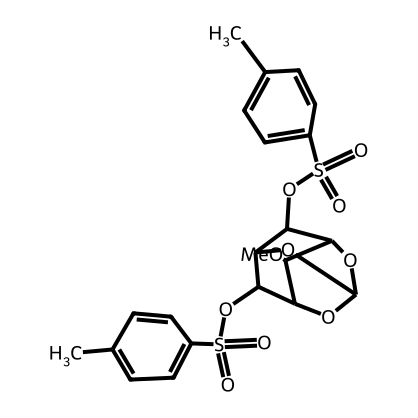 COC1C2OC3OC1C(OS(=O)(=O)c1ccc(C)cc1)C(O3)C2OS(=O)(=O)c1ccc(C)cc1